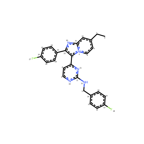 CCc1ccn2c(-c3ccnc(NCc4ccc(F)cc4)n3)c(-c3ccc(F)cc3)nc2c1